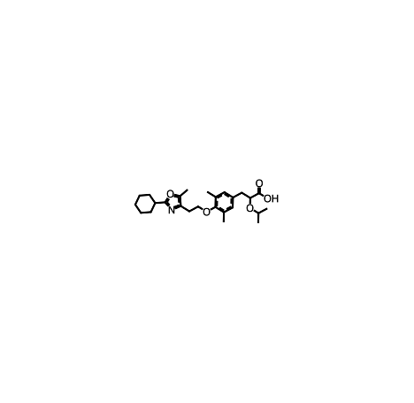 Cc1cc(CC(OC(C)C)C(=O)O)cc(C)c1OCCc1nc(C2CCCCC2)oc1C